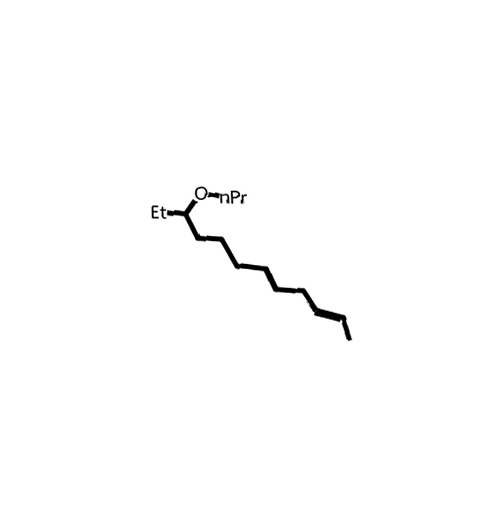 CC=CCCCCCCC(CC)OCCC